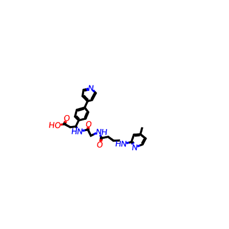 Cc1ccnc(NCCCC(=O)NCC(=O)NC(CC(=O)O)c2ccc(-c3ccncc3)cc2)c1